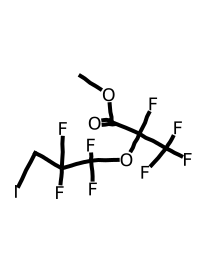 COC(=O)C(F)(OC(F)(F)C(F)(F)CI)C(F)(F)F